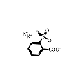 O=C([O-])c1ccccc1S(=O)(=O)[O-].[K+].[K+]